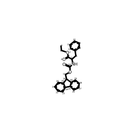 CCOC(=O)C(Cc1ccccc1)NC(=O)OCC1c2ccccc2-c2ccccc21